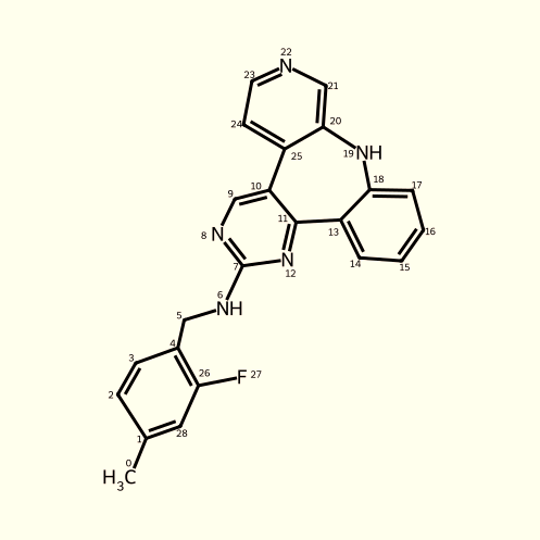 Cc1ccc(CNc2ncc3c(n2)-c2ccccc2Nc2cnccc2-3)c(F)c1